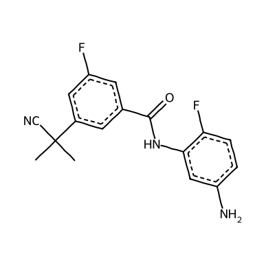 CC(C)(C#N)c1cc(F)cc(C(=O)Nc2cc(N)ccc2F)c1